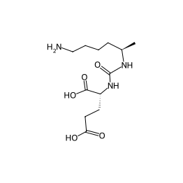 C[C@H](CCCCN)NC(=O)N[C@H](CCC(=O)O)C(=O)O